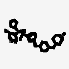 CN1CCC(CN2CCN(Cc3cccc(C(=O)NN(c4[nH]ncc4Br)C4CCCC4)c3)CC2)CC1